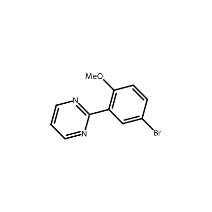 COc1ccc(Br)cc1-c1ncccn1